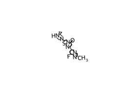 Cc1cn2cc(-c3cc(=O)n4cc(N5CCNC6(CC6)C5)sc4n3)cc(F)c2n1